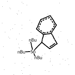 CCC[CH2][Sn]([CH2]CCC)([CH2]CCC)[CH]1C=Cc2ccccc21